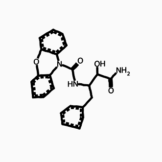 NC(=O)C(O)C(Cc1ccccc1)NC(=O)N1c2ccccc2Oc2ccccc21